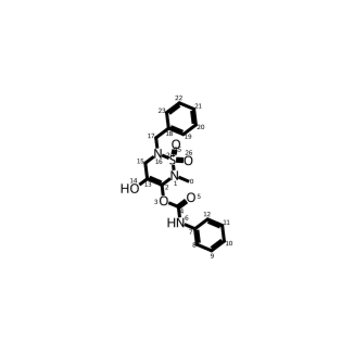 CN1C(OC(=O)Nc2ccccc2)=C(O)CN(Cc2ccccc2)S1(=O)=O